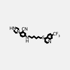 N#Cc1cc(NCCCCCCSc2ccnc3cc(C(F)(F)F)ccc23)ccc1N1CCNCC1